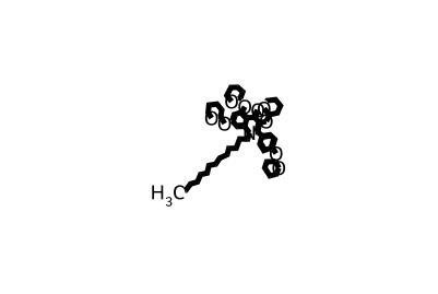 CCCCCCCCCCCCCCn1c(-c2ccc(OC3CCCCO3)cc2)c(OC2CCCCO2)c(=O)c2c(OC3CCCCO3)cc(OC3CCCCO3)cc21